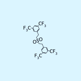 O=S(=O)(CCc1cc(C(F)(F)F)cc(C(F)(F)F)c1)CCc1cc(C(F)(F)F)cc(C(F)(F)F)c1